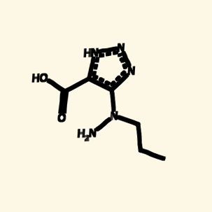 CCCN(N)c1nn[nH]c1C(=O)O